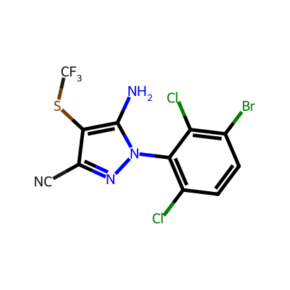 N#Cc1nn(-c2c(Cl)ccc(Br)c2Cl)c(N)c1SC(F)(F)F